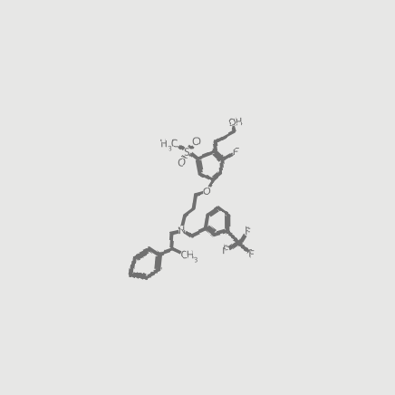 CC(CN(CCCOc1cc(F)c(CCO)c(S(C)(=O)=O)c1)Cc1cccc(C(F)(F)F)c1)c1ccccc1